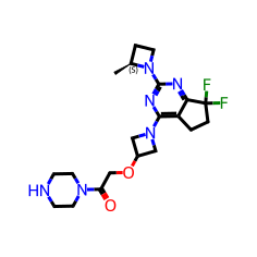 C[C@H]1CCN1c1nc(N2CC(OCC(=O)N3CCNCC3)C2)c2c(n1)C(F)(F)CC2